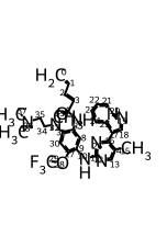 C=C/C=C/C(=O)Nc1cc(Nc2ncc(C)c(-c3cnn4ccccc34)n2)c(OC(F)(F)F)cc1N(C)CCN(C)C